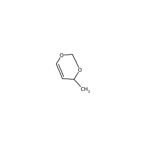 CC1C=COCO1